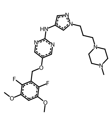 COc1cc(OC)c(F)c(COc2cnc(Nc3cnn(CCCN4CCN(C)CC4)c3)nc2)c1F